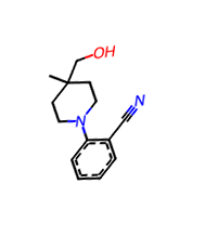 CC1(CO)CCN(c2ccccc2C#N)CC1